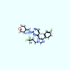 Fc1ccc(-c2ncn(CCC(F)(F)F)c2-c2ccnc(NCC3CCOCC3)n2)cc1